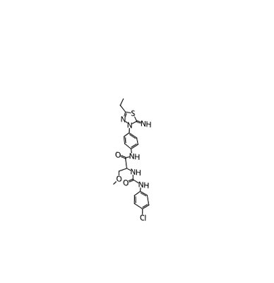 CCc1nn(-c2ccc(NC(=O)C(COC)NC(=O)Nc3ccc(Cl)cc3)cc2)c(=N)s1